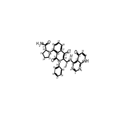 C[C@H](Nc1ncnc2[nH]ccc(=O)c12)c1c(Cl)c2cccc(N3CCCC3C(N)=O)c2c(=O)n1-c1ccccc1